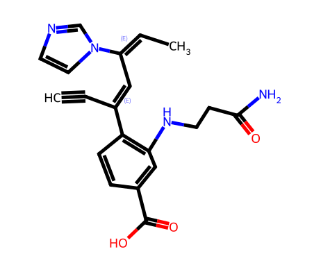 C#C/C(=C\C(=C/C)n1ccnc1)c1ccc(C(=O)O)cc1NCCC(N)=O